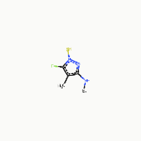 CCNc1nn(S)c(F)c1C